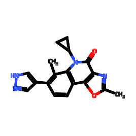 Cc1nc2c(=O)n(C3CC3)c3c(C)c(-c4cn[nH]c4)ccc3c2o1